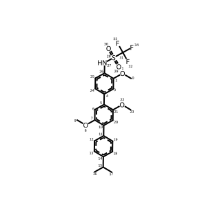 COc1cc(-c2cc(OC)c(-c3ccc(C(C)C)cc3)cc2OC)ccc1NS(=O)(=O)C(F)(F)F